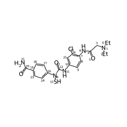 CCN(CC)CC(=O)Nc1ccc(NC(=O)N(S)c2ccc(C(N)=O)cc2)cc1Cl